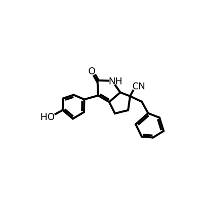 N#CC1(Cc2ccccc2)CCC2=C(c3ccc(O)cc3)C(=O)NC21